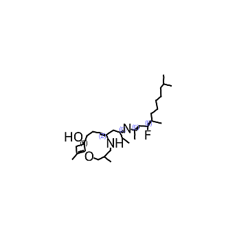 CC\C(C/C1=C/CC[C@@]2(O)CC(C)=C2OCC(C)CN1)=N/C(C)=C/C(F)=C(/C)CCCCCC(C)C